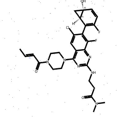 C/C=C/C(=O)N1CCN(c2nc(NCCC(=O)N(C)C)nc3c(F)c(C4=C(F)C=C[C@]5(O)C[C@H]45)c(Cl)cc23)CC1